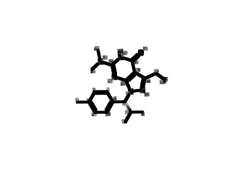 Cc1ccc([C@@H](C(C)C)n2nc(CF)c3c(=O)[nH]c(N(C)C)nc32)cc1